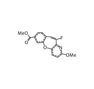 COC(=O)c1ccc2c(c1)Oc1ccc(OC)nc1C(F)=C2